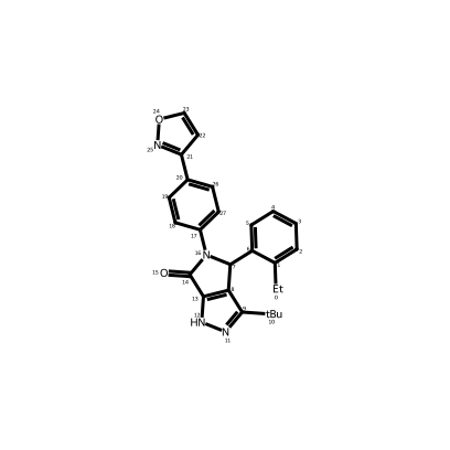 CCc1ccccc1C1c2c(C(C)(C)C)n[nH]c2C(=O)N1c1ccc(-c2ccon2)cc1